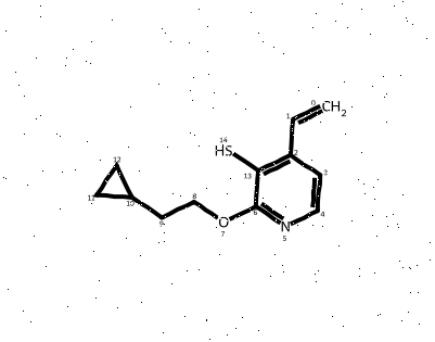 C=Cc1ccnc(OCCC2CC2)c1S